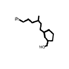 CC(C)CCCC(C)CCC1CCCC(CO)C1